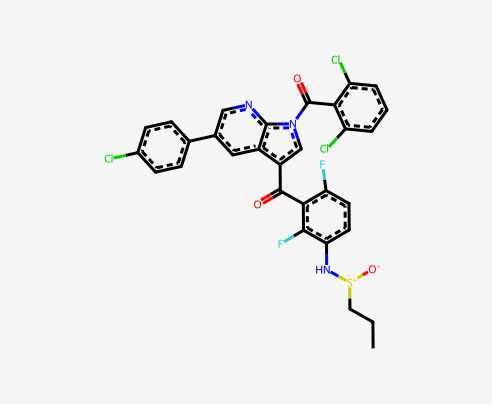 CCC[S+]([O-])Nc1ccc(F)c(C(=O)c2cn(C(=O)c3c(Cl)cccc3Cl)c3ncc(-c4ccc(Cl)cc4)cc23)c1F